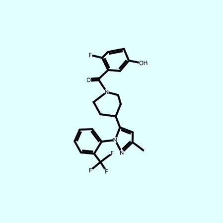 Cc1cc(C2CCN(C(=O)c3cc(O)ccc3F)CC2)n(-c2ccccc2C(F)(F)F)n1